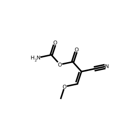 COC=C(C#N)C(=O)OC(N)=O